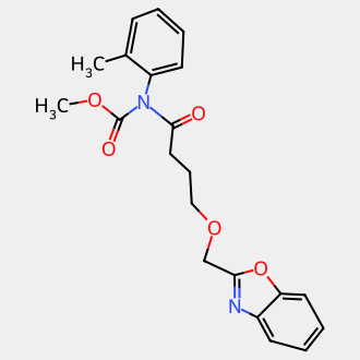 COC(=O)N(C(=O)CCCOCc1nc2ccccc2o1)c1ccccc1C